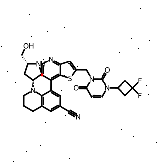 N#Cc1cc2c(c(-c3ccnc4cc(Cn5c(=O)ccn(C6CC(F)(F)C6)c5=O)sc34)c1)N([C@@H]1CN[C@@H](CO)C1)CCC2